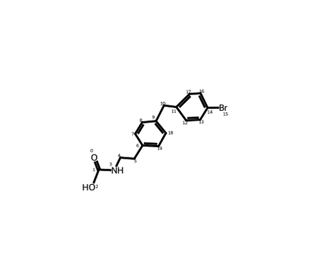 O=C(O)NCCc1ccc(Cc2ccc(Br)cc2)cc1